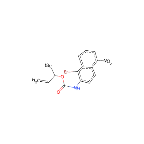 C=CC(OC(=O)Nc1ccc2c([N+](=O)[O-])cccc2c1Br)C(C)(C)C